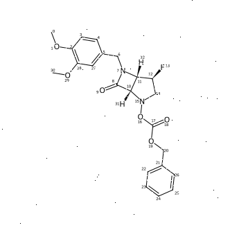 COc1ccc(CN2C(=O)[C@@H]3[C@H]2[C@@H](F)CN3OC(=O)OCc2ccccc2)cc1OC